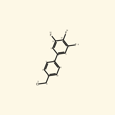 Fc1cc(-c2ccc(CCl)cc2)cc(F)c1F